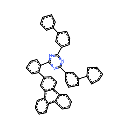 c1ccc(-c2cccc(-c3nc(-c4cccc(-c5ccccc5)c4)nc(-c4ccccc4-c4ccc5c6ccccc6c6ccccc6c5c4)n3)c2)cc1